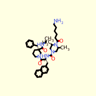 CCNC(=O)[C@]1(Cc2ccccc2)CCCN(C(=O)[C@@H](Cc2ccc3ccccc3c2)NC(=O)N2CC(C)N(C(=O)CCCCCN)C(C)C2)C1